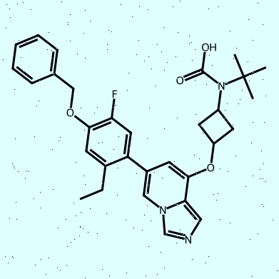 CCc1cc(OCc2ccccc2)c(F)cc1-c1cc(OC2CC(N(C(=O)O)C(C)(C)C)C2)c2cncn2c1